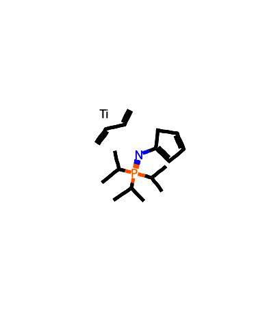 C=CC=C.CC(C)P(=NC1=CC=CC1)(C(C)C)C(C)C.[Ti]